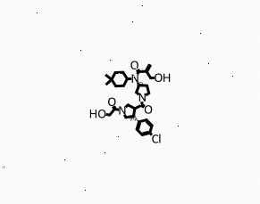 C=C(CO)C(=O)N(C1CCC(C)(C)CC1)[C@H]1CCN(C(=O)C2CN(C(=O)CO)C[C@H]2c2ccc(Cl)cc2)C1